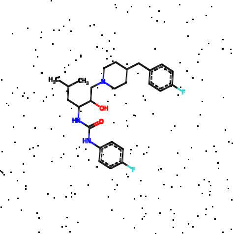 CC(C)CC(NC(=O)Nc1ccc(F)cc1)C(O)CN1CCC(Cc2ccc(F)cc2)CC1